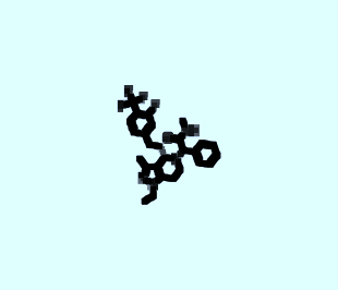 CCn1nc(C)c2c1CCN([C@@H](C(=O)NC)c1ccccc1)[C@H]2CCc1ccc(C(F)(F)F)c(F)c1